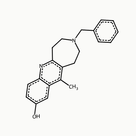 Cc1c2c(nc3ccc(O)cc13)CCN(Cc1ccccc1)CC2